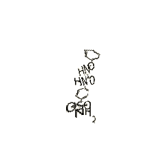 NS(=O)(=O)c1ccc(NC(=O)NOc2ccccc2)cc1